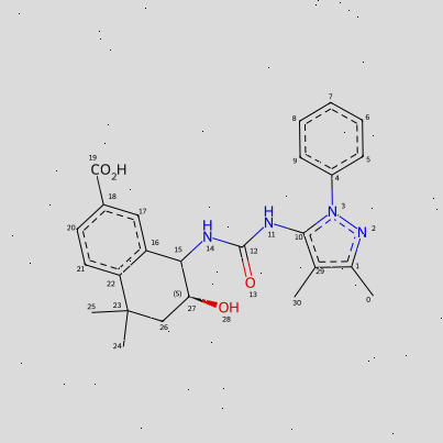 Cc1nn(-c2ccccc2)c(NC(=O)NC2c3cc(C(=O)O)ccc3C(C)(C)C[C@@H]2O)c1C